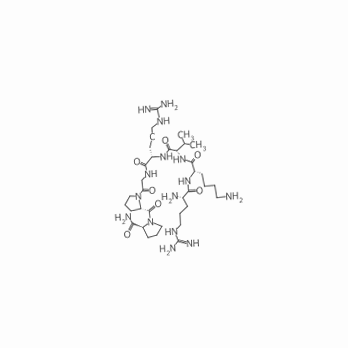 CC(C)[C@H](NC(=O)[C@H](CCCCN)NC(=O)[C@@H](N)CCCNC(=N)N)C(=O)N[C@@H](CCCNC(=N)N)C(=O)NCC(=O)N1CCC[C@H]1C(=O)N1CCC[C@H]1C(N)=O